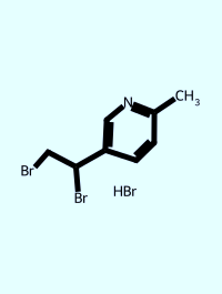 Br.Cc1ccc(C(Br)CBr)cn1